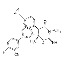 CN1C(=N)N[C@](C)(c2cccc(-c3ccc(F)c(C#N)c3)c2)[C@@H](c2ccc(C3CC3)cc2)C1=O